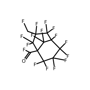 O=C(F)C12C(F)(F)C(F)(F)C(F)(F)C(F)(C(F)(F)C(F)(CF)C1(F)F)C2(F)F